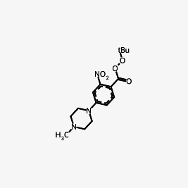 CN1CCN(c2ccc(C(=O)OOC(C)(C)C)c([N+](=O)[O-])c2)CC1